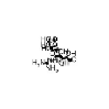 C[C@@H](OP(=O)(O)OP(=O)(O)O)[C@H](O)[C@H](O)[C@@H](O)C=O.N=C(N)N